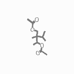 CC(=O)OCC(C)(C(C)C)C(C)OC(C)=O